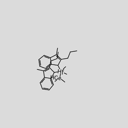 CCCC1=C(C)c2ccccc2[CH]1[Hf]([CH3])([CH3])([CH]1C(CCC)=C(C)c2ccccc21)[GeH]([CH3])[CH3]